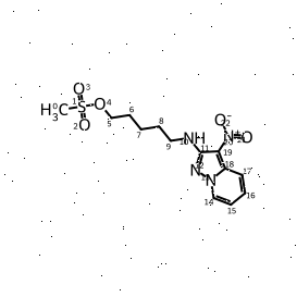 CS(=O)(=O)OCCCCCNc1nn2ccccc2c1[N+](=O)[O-]